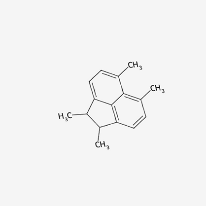 Cc1ccc2c3c(ccc(C)c13)C(C)C2C